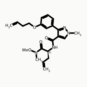 C=CCCOc1cccc(-c2nn(C)cc2C(=O)N[C@@H](CC=C)C(=O)N(C)OC)c1